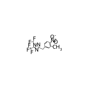 Cc1cc(Cc2nc(C(F)(F)F)n(C(F)F)n2)ccc1[N+](=O)[O-]